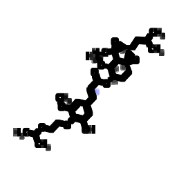 COc1cc(/C=C/C(=O)O[C@@H]2CC[C@]3(CO3)C(C3(C)O[C@H]3CC=C(C)C)[C@@H]2OC)cc(O)c1OCCOC(C)C